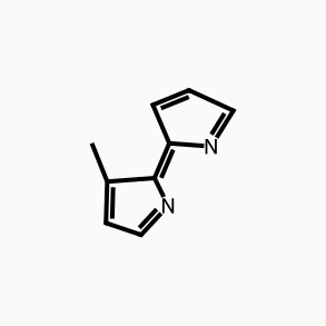 CC1=CC=NC1=C1C=CC=N1